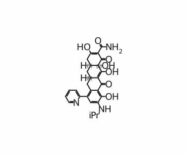 CC(C)Nc1cc(-c2ccccn2)c2c(c1O)C(=O)C1=C(O)[C@]3(O)C(=O)C(C(N)=O)=C(O)C[C@@H]3C[C@@H]1C2